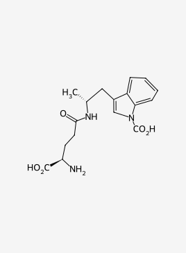 C[C@H](Cc1cn(C(=O)O)c2ccccc12)NC(=O)CC[C@@H](N)C(=O)O